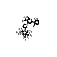 BC1(B)N(c2ccn(-c3cc(-c4c(F)cccc4C#N)nc4c3C(=O)NC4)n2)C(B)(B)[C@@](B)(O)C1(B)B